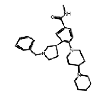 CNC(=O)c1ccc(N2CCC(N3CCCCC3)CC2)c([C@H]2CCN(Cc3ccccc3)C2)c1